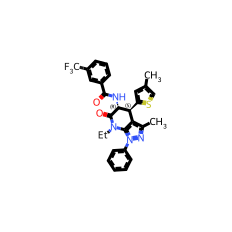 CCN1C(=O)[C@H](NC(=O)c2cccc(C(F)(F)F)c2)[C@@H](c2cc(C)cs2)c2c(C)nn(-c3ccccc3)c21